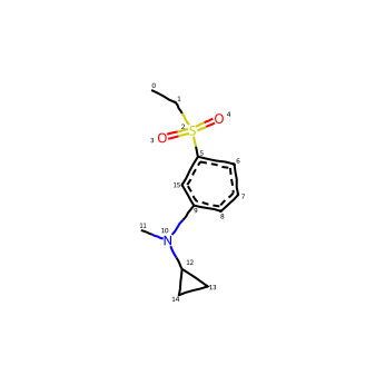 CCS(=O)(=O)c1cccc(N(C)C2CC2)c1